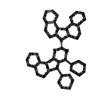 c1ccc(-c2nc(-n3c4ccc5ccccc5c4c4c5ccccc5ccc43)nc3c4c5ccccc5ccc4n(-c4ccccc4)c23)cc1